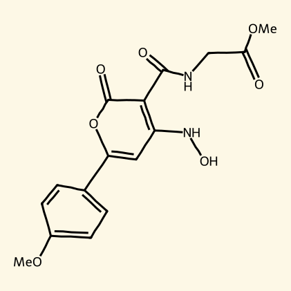 COC(=O)CNC(=O)c1c(NO)cc(-c2ccc(OC)cc2)oc1=O